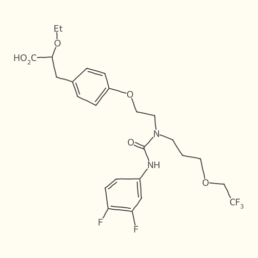 CCOC(Cc1ccc(OCCN(CCCOCC(F)(F)F)C(=O)Nc2ccc(F)c(F)c2)cc1)C(=O)O